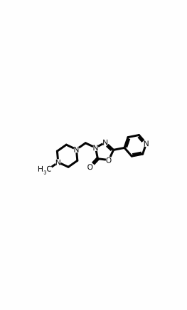 CN1CCN(Cn2nc(-c3ccncc3)oc2=O)CC1